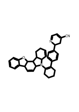 N#CC1=CC=NC(c2ccc(C3=C(N4C5C=CCCC5C5C6Oc7ccccc7C6C=CC54)CCCC3)cc2)C1